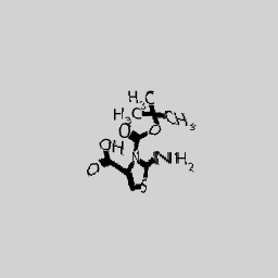 CC(C)(C)OC(=O)N1C(C(=O)O)=CSC1N